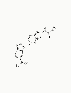 CC[S+]([O-])c1ccc2nnc(Sc3ccc4nc(NC(=O)C5CC5)cn4n3)n2c1